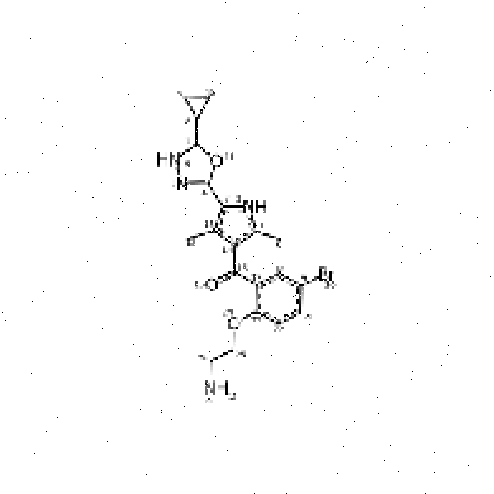 Cc1[nH]c(C2=NNC(C3CC3)O2)c(C)c1C(=O)c1cc(Br)ccc1OCCN